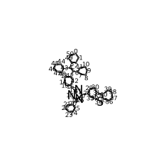 c1ccc(C(=C(c2ccccc2)c2cccc(-c3nc(-c4ccccc4)nc(-c4ccc5c(c4)sc4ccccc45)n3)c2)c2ccccc2)cc1